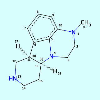 CN1CCN2c3c(cccc31)[C@@H]1CNCC[C@@H]12